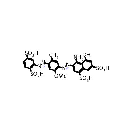 COc1cc(/N=N/c2cc(S(=O)(=O)O)ccc2S(=O)(=O)O)c(C)cc1/N=N/c1cc(S(=O)(=O)O)c2cc(S(=O)(=O)O)cc(O)c2c1N